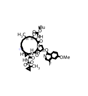 COc1ccc2c(O[C@@H]3C[C@H]4C(=O)N[C@]5(C(=O)NS(=O)(=O)C6(C)CC6)C[C@H]5/C=C\CC[C@@H](C)C[C@@H](C)[C@H](NC(=O)OC(C)(C)C)C(=O)N4C3)ncc(F)c2c1